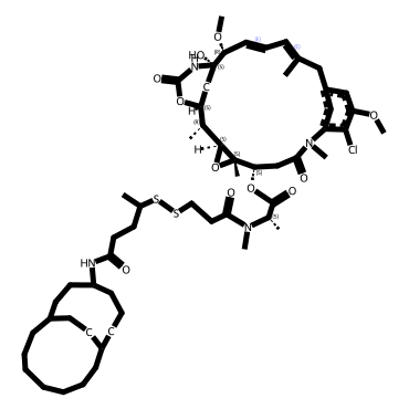 COc1cc2cc(c1Cl)N(C)C(=O)C[C@H](OC(=O)[C@H](C)N(C)C(=O)CCSSC(C)CCC(=O)NC1CCCC3CCCCCCCC(CC3)CC1)[C@]1(C)O[C@H]1[C@H](C)[C@@H]1C[C@@](O)(NC(=O)O1)[C@H](OC)/C=C/C=C(\C)C2